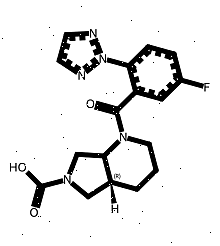 O=C(O)N1CC2[C@H](CCCN2C(=O)c2cc(F)ccc2-n2nccn2)C1